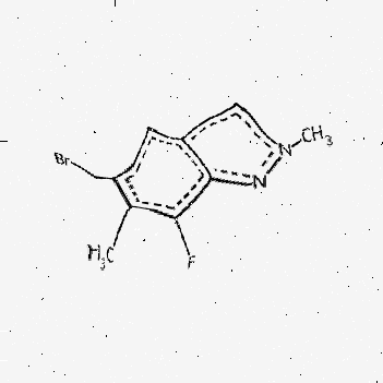 Cc1c(Br)cc2cn(C)nc2c1F